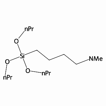 CCCO[Si](CCCCNC)(OCCC)OCCC